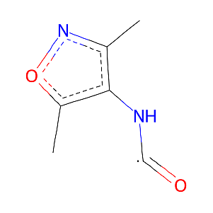 Cc1noc(C)c1N[C]=O